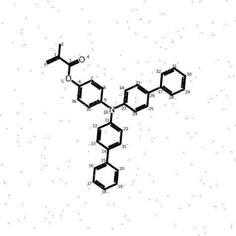 C=C(C)C(=O)Oc1ccc(N(c2ccc(-c3ccccc3)cc2)c2ccc(-c3ccccc3)cc2)cc1